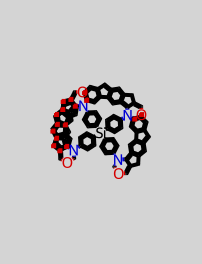 C1=C2Cc3cc4c(cc3=C2N(c2ccc([Si](c3ccc(N5COC=C6Cc7cc8c(cc7=C65)-c5ccccc5C=8)cc3)(c3ccc(N5COC=C6Cc7cc8c(cc7=C65)-c5ccccc5C=8)cc3)c3ccc(N5COC=C6Cc7cc8c(cc7=C65)-c5ccccc5C=8)cc3)cc2)CO1)-c1ccccc1C=4